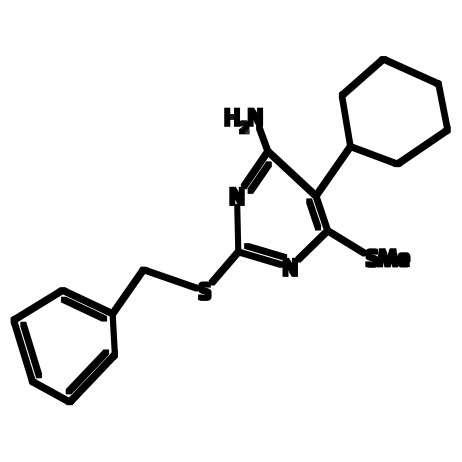 CSc1nc(SCc2ccccc2)nc(N)c1C1CCCCC1